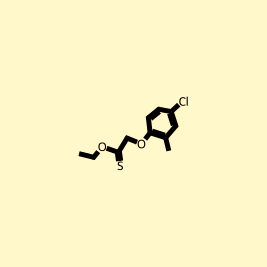 CCOC(=S)COc1ccc(Cl)cc1C